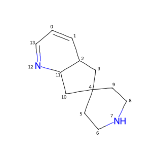 C1=CC2CC3(CCNCC3)CC2N=C1